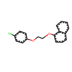 Clc1ccc(OCCOc2cccc3ccccc23)cc1